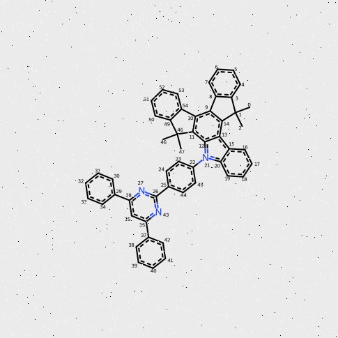 CC1(C)c2ccccc2-c2c3c(c4c(c21)c1ccccc1n4-c1ccc(-c2nc(-c4ccccc4)cc(-c4ccccc4)n2)cc1)C(C)(C)c1ccccc1-3